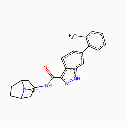 CN1C2CCC1CC(NC(=O)c1n[nH]c3cc(-c4ccccc4C(F)(F)F)ccc13)C2